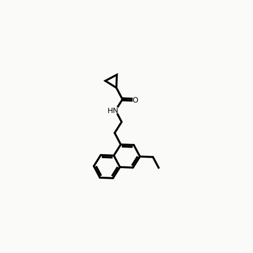 CCc1cc(CCNC(=O)C2CC2)c2ccccc2c1